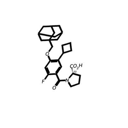 O=C(O)[C@@H]1CCCN1C(=O)c1cc(C2CCC2)c(OCC23CC4CC(CC(C4)C2)C3)cc1F